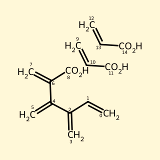 C=CC(=C)C(=C)C(=C)C(=O)O.C=CC(=O)O.C=CC(=O)O